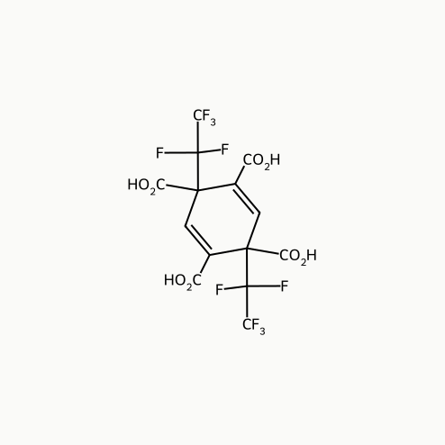 O=C(O)C1=CC(C(=O)O)(C(F)(F)C(F)(F)F)C(C(=O)O)=CC1(C(=O)O)C(F)(F)C(F)(F)F